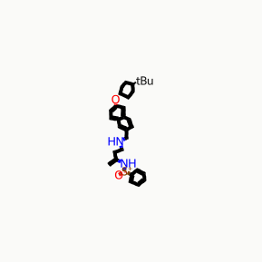 C=C(CCNCc1ccc2cc(O[C@H]3CC[C@H](C(C)(C)C)CC3)ccc2c1)N[S+]([O-])c1ccccc1